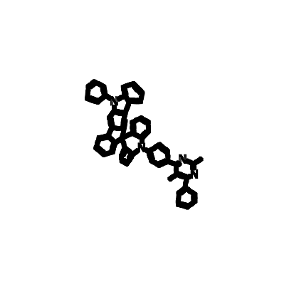 Cc1nc(-c2ccccc2)c(C)c(-c2ccc(N3c4ccccc4C4(c5ccccc5-c5cc6c(cc54)c4ccccc4n6-c4ccccc4)c4ccccc43)cc2)n1